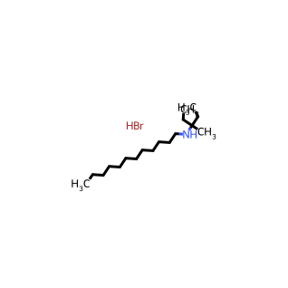 Br.CCCCCCCCCCCCNC(C)(CC)CC